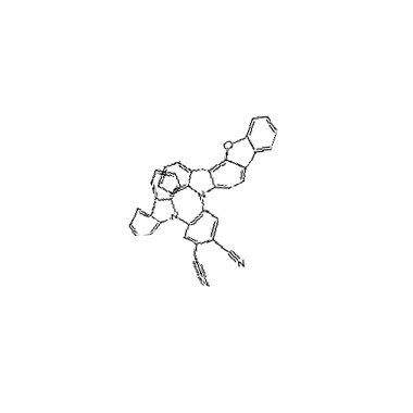 N#Cc1cc(-n2c3ccccc3c3ccccc32)c(-n2c3ccccc3c3c4oc5ccccc5c4ccc32)cc1C#N